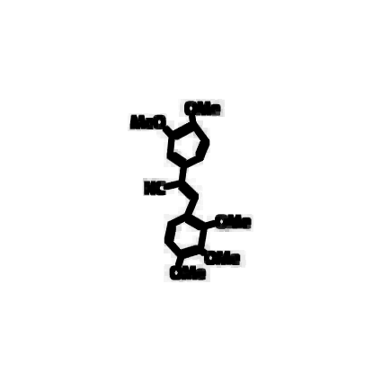 COc1ccc(/C(C#N)=C/c2ccc(OC)c(OC)c2OC)cc1OC